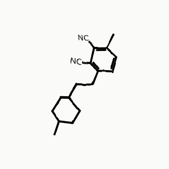 Cc1ccc(CCC2CCC(C)CC2)c(C#N)c1C#N